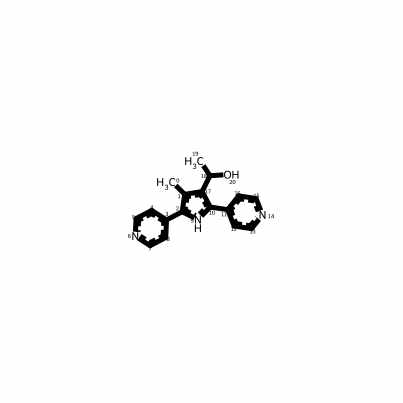 Cc1c(-c2ccncc2)[nH]c(-c2ccncc2)c1C(C)O